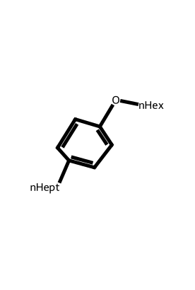 CCCCCCCc1ccc(OCCCCCC)cc1